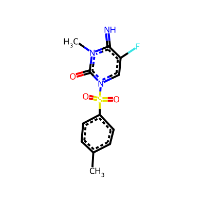 Cc1ccc(S(=O)(=O)n2cc(F)c(=N)n(C)c2=O)cc1